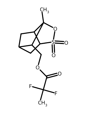 CC(F)(F)C(=O)OCC1C2CC3C(C2)S(=O)(=O)OC13C